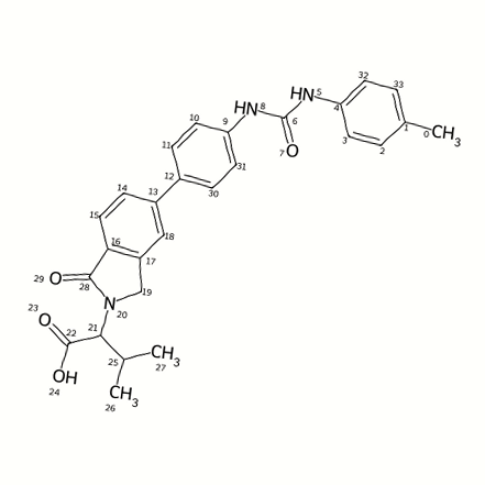 Cc1ccc(NC(=O)Nc2ccc(-c3ccc4c(c3)CN(C(C(=O)O)C(C)C)C4=O)cc2)cc1